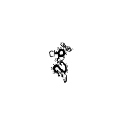 O=C1CCCN(Cc2ccc([N+](=O)[O-])cc2Cl)c2cccnc21